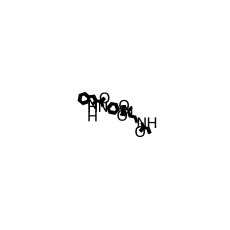 C=CC(=O)NCCCN(C)S(=O)(=O)c1ccc(NC(=O)c2cc3ccccc3[nH]2)cc1